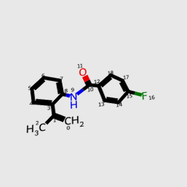 C=C(C)c1ccccc1NC(=O)c1ccc(F)cc1